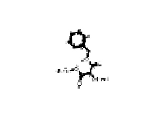 CCCCCOC(=O)C(CCCCC)C(=O)OCc1ccccc1